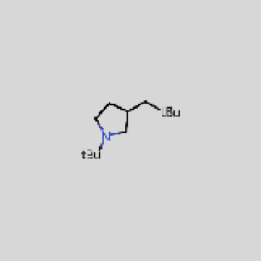 CC(C)(C)CC1CCN(C(C)(C)C)C1